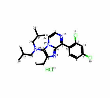 CCc1nc2c(-c3ccc(Cl)cc3Cl)nccn2c1N(CC(C)C)CC(C)C.Cl